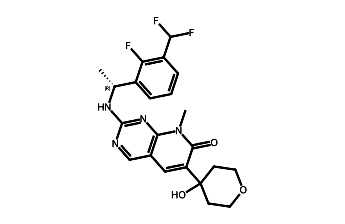 C[C@@H](Nc1ncc2cc(C3(O)CCOCC3)c(=O)n(C)c2n1)c1cccc(C(F)F)c1F